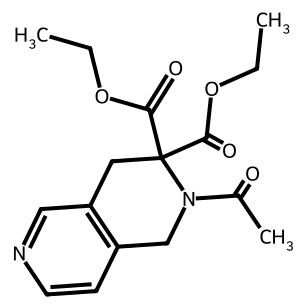 CCOC(=O)C1(C(=O)OCC)Cc2cnccc2CN1C(C)=O